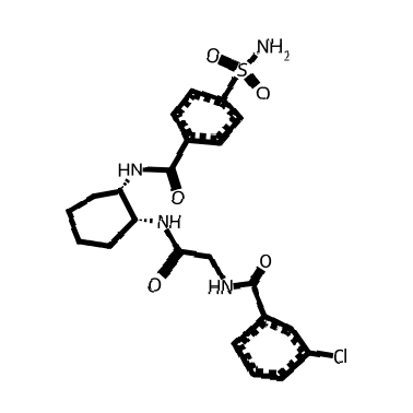 NS(=O)(=O)c1ccc(C(=O)N[C@H]2CCCC[C@H]2NC(=O)CNC(=O)c2cccc(Cl)c2)cc1